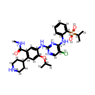 CNC(=O)c1cc(Nc2ncc(Cl)c(Nc3ccccc3S(=O)(=O)C(C)C)n2)c(OC(C)C)cc1C1CCNCC1